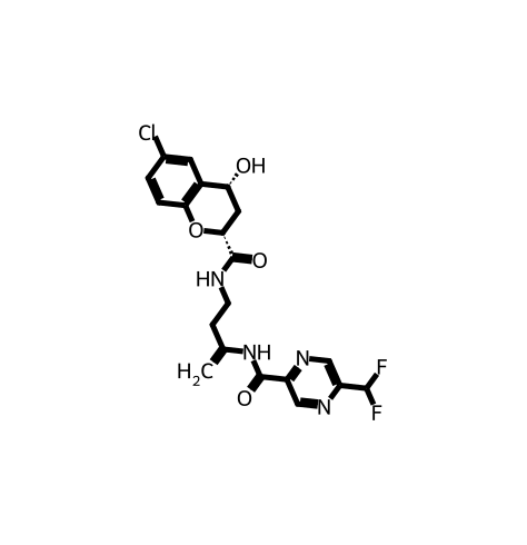 C=C(CCNC(=O)[C@H]1C[C@@H](O)c2cc(Cl)ccc2O1)NC(=O)c1cnc(C(F)F)cn1